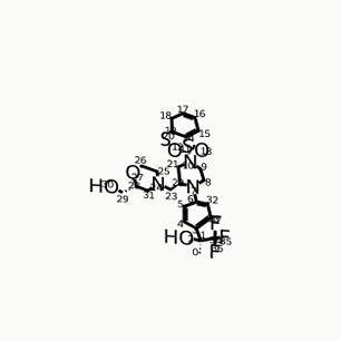 C[C@](O)(c1ccc(N2CCN(S(=O)(=O)C3=CC=CCC3=S)C[C@@H]2CN2CCO[C@@H](CO)C2)cc1)C(F)(F)F